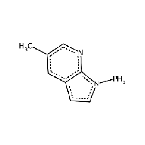 Cc1cnc2c(ccn2P)c1